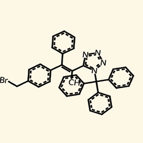 CC(=C(c1ccccc1)c1ccc(CBr)cc1)c1nnnn1C(c1ccccc1)(c1ccccc1)c1ccccc1